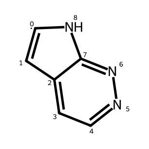 [c]1cc2ccnnc2[nH]1